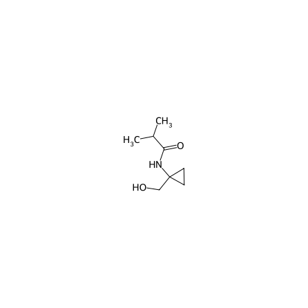 CC(C)C(=O)NC1(CO)CC1